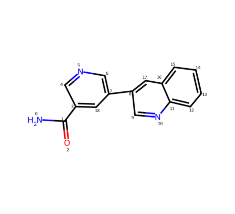 NC(=O)c1cncc(-c2cnc3ccccc3c2)c1